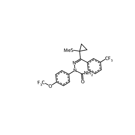 CSC1(/C(=N/N(C(N)=O)c2ccc(OC(F)(F)F)cc2)c2cccc(C(F)(F)F)c2)CC1